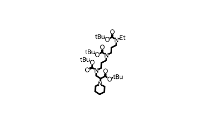 CCN(CCCN(CCCN(CC(C(=O)OC(C)(C)C)N1CCCCC1)C(=O)OC(C)(C)C)C(=O)OC(C)(C)C)C(=O)OC(C)(C)C